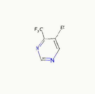 CCc1cncnc1C(F)(F)F